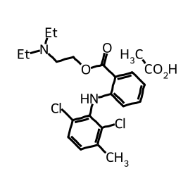 CC(=O)O.CCN(CC)CCOC(=O)c1ccccc1Nc1c(Cl)ccc(C)c1Cl